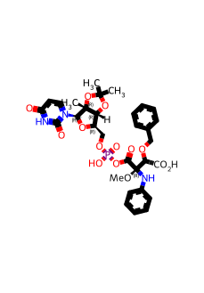 CO[C@@](Nc1ccccc1)(C(=O)OP(=O)(O)OC[C@H]1O[C@@H](n2ccc(=O)[nH]c2=O)[C@]2(C)OC(C)(C)O[C@H]12)C(OCc1ccccc1)C(=O)O